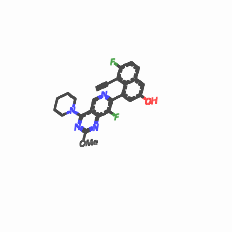 C#Cc1c(F)ccc2cc(O)cc(-c3ncc4c(N5CCCCC5)nc(OC)nc4c3F)c12